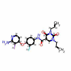 C=CCn1cc(C(=O)Nc2ccc(Oc3ccnc(N)c3I)c(F)c2)c(=O)n(CC=C)c1=O